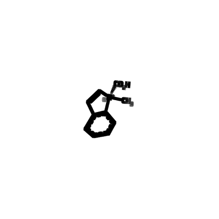 C[N@+]1(C(=O)O)C=Cc2ccccc21